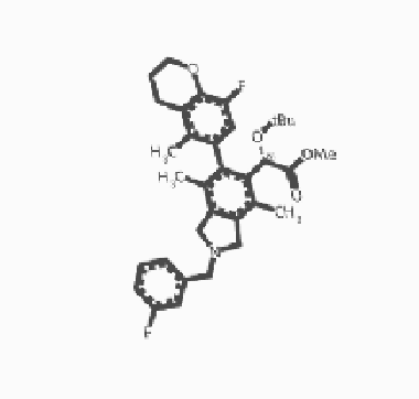 COC(=O)[C@@H](OC(C)(C)C)c1c(C)c2c(c(C)c1-c1cc(F)c3c(c1C)CCCO3)CN(Cc1cccc(F)c1)C2